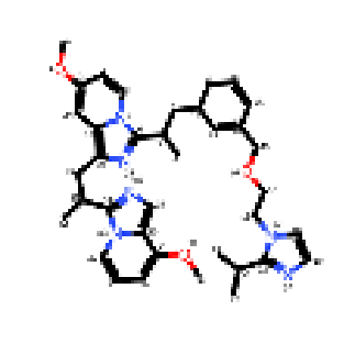 COc1ccn2c(C(C)CC3C=C(COCCn4ccnc4C(C)C)C=CC3)nc(CC(C)c3ncc4c(OC)cccn34)c2c1